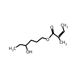 CC=C(C)C(=O)OCCCC(O)CC